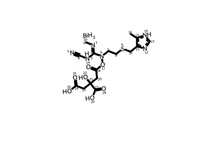 CN=C(NC#N)N(CCSCc1nc[nH]c1C)OC(=O)CC(O)(CC(=O)O)C(=O)O.[BiH3]